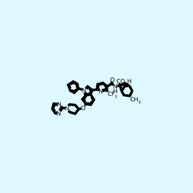 CC1CC2CC(C1)C(NC(=O)c1ccc(-c3cn(-c4ccccc4)c4cc(OC5CCN(c6ncccn6)CC5)ccc34)nc1C(F)(F)F)(C(=O)O)C2